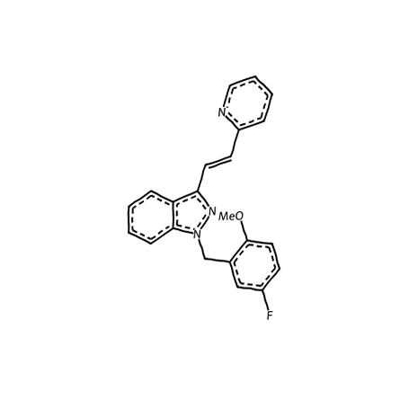 COc1ccc(F)cc1Cn1nc(C=Cc2ccccn2)c2ccccc21